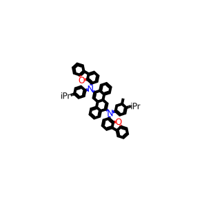 CC(C)C1=CC=C(N(C2=CC3c4ccccc4C(N(c4ccc(C(C)C)cc4)c4cccc5c6c(oc45)C=C=C=C6)=CC3c3ccccc32)c2cccc3c2oc2ccccc23)CC1C